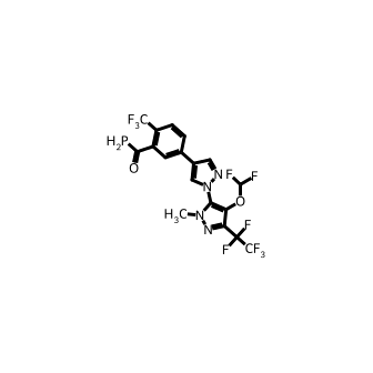 Cn1nc(C(F)(F)C(F)(F)F)c(OC(F)F)c1-n1cc(-c2ccc(C(F)(F)F)c(C(=O)P)c2)cn1